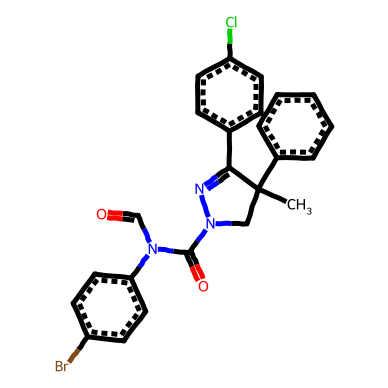 CC1(c2ccccc2)CN(C(=O)N(C=O)c2ccc(Br)cc2)N=C1c1ccc(Cl)cc1